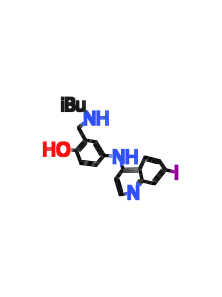 CCC(C)NCc1cc(Nc2ccnc3cc(I)ccc23)ccc1O